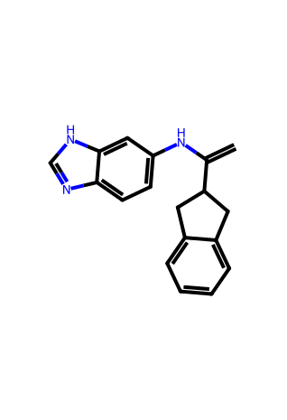 C=C(Nc1ccc2nc[nH]c2c1)C1Cc2ccccc2C1